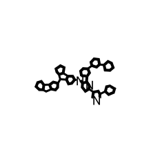 c1ccc(-c2cccc(-c3ccc4c(c3)c3nc(-c5cncc(-c6ccccc6)c5)ccc3n4-c3ccc4c(c3)-c3ccccc3C4c3ccc4c(c3)-c3ccccc3C4)c2)cc1